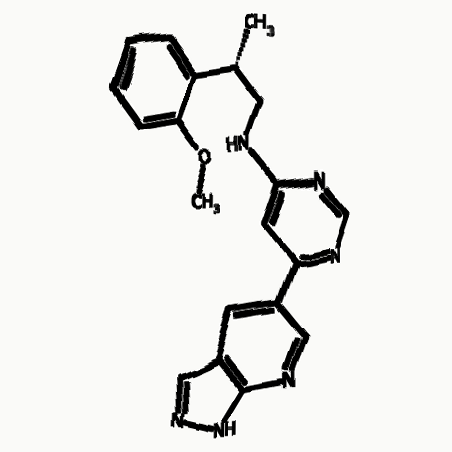 COc1ccccc1[C@H](C)CNc1cc(-c2cnc3[nH]ncc3c2)ncn1